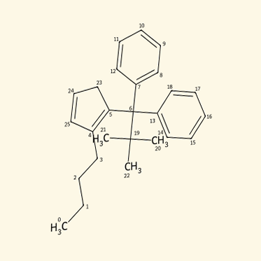 CCCCC1=C(C(c2ccccc2)(c2ccccc2)C(C)(C)C)CC=C1